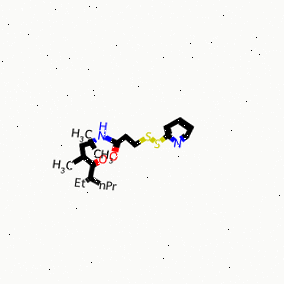 CCCC(CC)C(=O)C(C)CC(C)(C)NC(=O)CCSSc1ccccn1